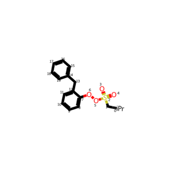 CC(C)CS(=O)(=O)OOc1ccccc1Cc1ccccc1